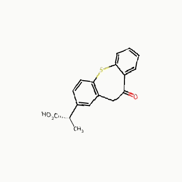 C[C@H](C(=O)O)c1ccc2c(c1)CC(=O)c1ccccc1S2